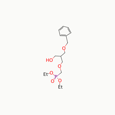 CCOP(=O)(COCC(CO)COCc1ccccc1)OCC